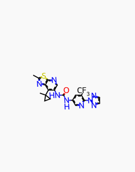 Cc1nc2c(C3(C)CC3)c(NC(=O)Nc3cnc(-n4nccn4)c(C(F)(F)F)c3)cnc2s1